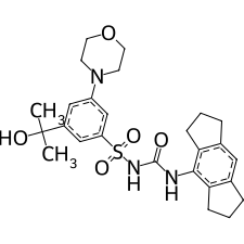 CC(C)(O)c1cc(N2CCOCC2)cc(S(=O)(=O)NC(=O)Nc2c3c(cc4c2CCC4)CCC3)c1